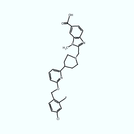 Cn1c(CN2CCC(c3cccc(OCc4ccc(Cl)cc4F)n3)CC2)nc2ccc(C(=O)O)cc21